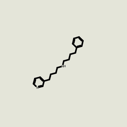 c1ccc(CCCCNCCCCc2cccnc2)cc1